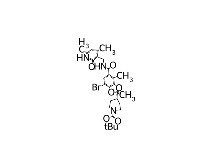 Cc1cc(C)c(CNC(=O)c2cc(Br)c3c(c2C)O[C@@](C)(C2CCN(C(=O)OC(C)(C)C)CC2)O3)c(=O)[nH]1